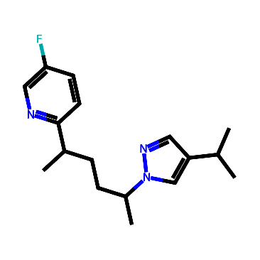 CC(C)c1cnn(C(C)CCC(C)c2ccc(F)cn2)c1